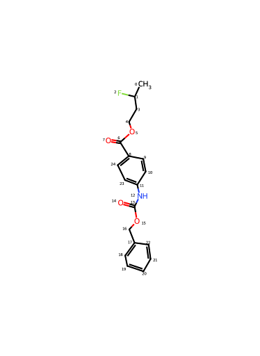 CC(F)CCOC(=O)c1ccc(NC(=O)OCc2ccccc2)cc1